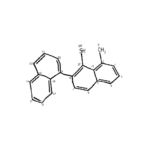 Cc1cccc2ccc(-c3cccc4ccccc34)c(S)c12